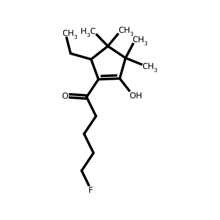 CCC1C(C(=O)CCCCF)=C(O)C(C)(C)C1(C)C